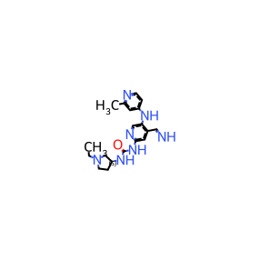 CCN1CC[C@H](NC(=O)Nc2cc(C=N)c(Nc3ccnc(C)c3)cn2)C1